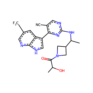 CC(O)C(=O)N1CC(C(C)Nc2ncc(C#N)c(-c3c[nH]c4ncc(C(F)(F)F)cc34)n2)C1